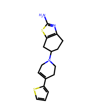 Nc1nc2c(s1)CC(N1CC=C(c3cccs3)CC1)CC2